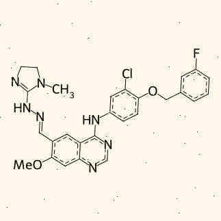 COc1cc2ncnc(Nc3ccc(OCc4cccc(F)c4)c(Cl)c3)c2cc1C=NNC1=NCCN1C